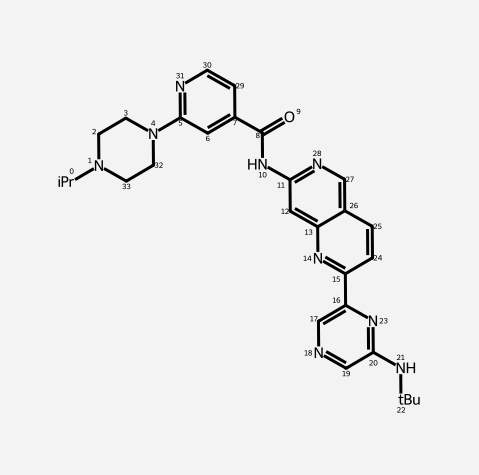 CC(C)N1CCN(c2cc(C(=O)Nc3cc4nc(-c5cncc(NC(C)(C)C)n5)ccc4cn3)ccn2)CC1